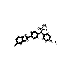 Cc1ccc2nc(-c3ccc(C(c4ccc([N+](=O)[O-])cc4)S(N)(=O)=O)cc3)sc2c1